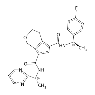 C[C@@H](NC(=O)c1cc(C(=O)N[C@H](C)c2ncccn2)c2n1CCOC2)c1ccc(F)cc1